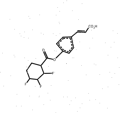 O=C(O)C=Cc1ccc(OC(=O)C2CCC(F)C(F)C2F)cc1